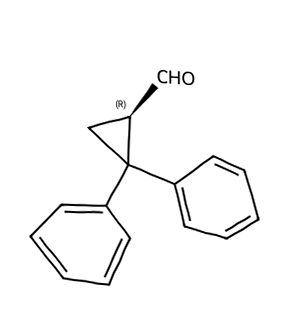 O=C[C@@H]1CC1(c1ccccc1)c1ccccc1